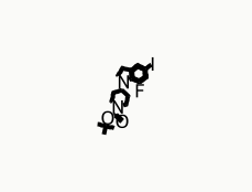 CC(C)(C)OC(=O)N1CCC(N2CCc3cc(I)cc(F)c32)CC1